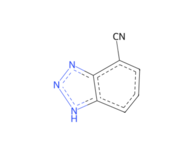 N#Cc1cccc2[nH]nnc12